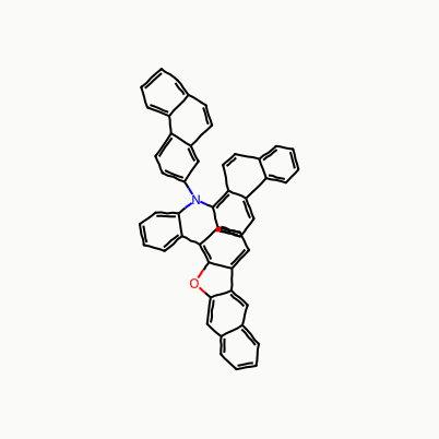 c1ccc(N(c2ccc3c(ccc4ccccc43)c2)c2cccc3c2ccc2ccccc23)c(-c2cccc3c2oc2cc4ccccc4cc23)c1